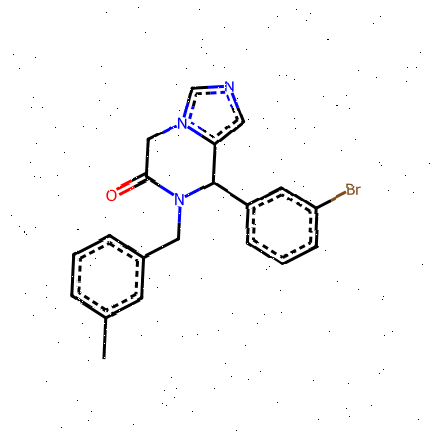 Cc1cccc(CN2C(=O)Cn3cncc3C2c2cccc(Br)c2)c1